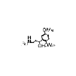 COc1ccc(OC)c(C(O)CCNC(C)(C)C)c1